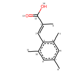 CC(=Cc1c(C)cc(C)cc1C)C(=O)O